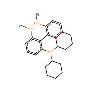 CC(C)Pc1ccccc1-c1c(PC(C)C)cccc1P(C1CCCCC1)C1CCCCC1